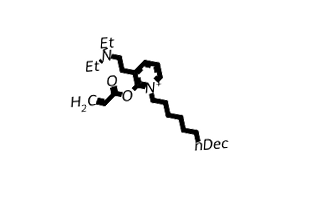 C=CC(=O)Oc1c(CCN(CC)CC)ccc[n+]1CCCCCCCCCCCCCCCC